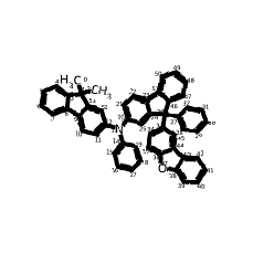 CC1(C)c2ccccc2-c2ccc(N(c3ccccc3)c3ccc4c(c3)C(c3ccccc3)(c3ccc5oc6ccccc6c5c3)c3ccccc3-4)cc21